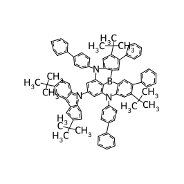 CC(C)(C)c1ccc2c(c1)c1cc(C(C)(C)C)ccc1n2-c1cc2c3c(c1)N(c1ccc(-c4ccccc4)cc1)c1cc(C(C)(C)C)c(-c4ccccc4)cc1B3c1cc(-c3ccccc3)c(C(C)(C)C)cc1N2c1ccc(-c2ccccc2)cc1